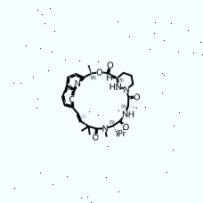 CC(C)[C@H]1C(=O)N[C@@H](C)C(=O)N2CCC[C@H](N2)C(=O)O[C@H](C)c2ccc3ccc(cc3n2)/C=C/C(C)(C)C(=O)N1C